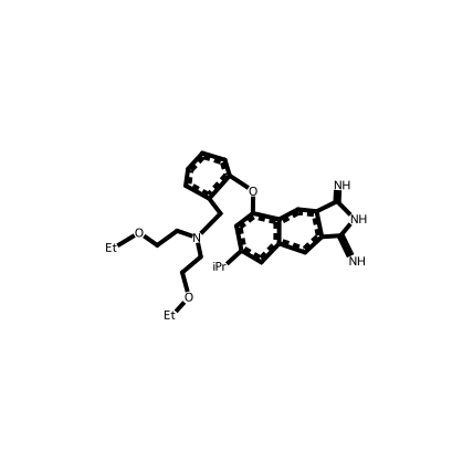 CCOCCN(CCOCC)Cc1ccccc1Oc1cc(C(C)C)cc2cc3c(cc12)C(=N)NC3=N